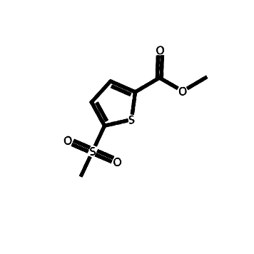 COC(=O)c1ccc(S(C)(=O)=O)s1